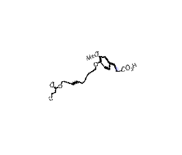 COc1cc(/C=C/C(=O)O)ccc1OCCCCCCOC(=O)CCCl